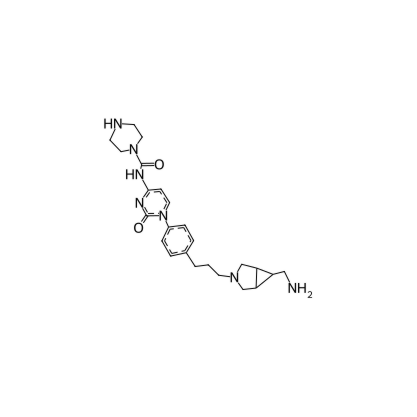 NCC1C2CN(CCCc3ccc(-n4ccc(NC(=O)N5CCNCC5)nc4=O)cc3)CC12